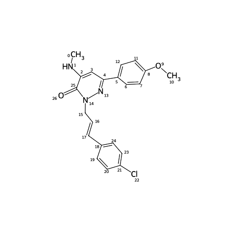 CNc1cc(-c2ccc(OC)cc2)nn(C/C=C/c2ccc(Cl)cc2)c1=O